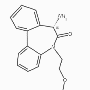 CCOCCN1C(=O)[C@@H](N)c2ccccc2-c2ccccc21